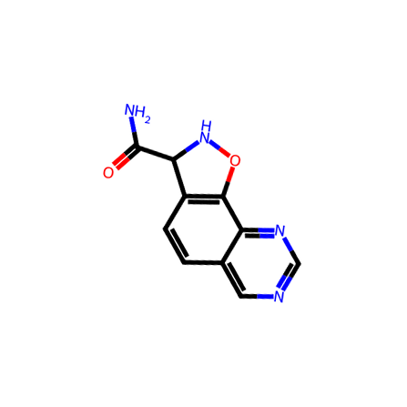 NC(=O)C1NOc2c1ccc1cncnc21